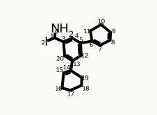 NC(I)c1cc(C2=CC=CCC2)cc(C2=CCCCC2)c1